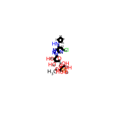 COCC(CO)(OC[C@H]1O[C@@H](n2nnc3c(NC4CCCC4)cc(Cl)nc32)[C@H](O)[C@@H]1O)P(=O)(O)O